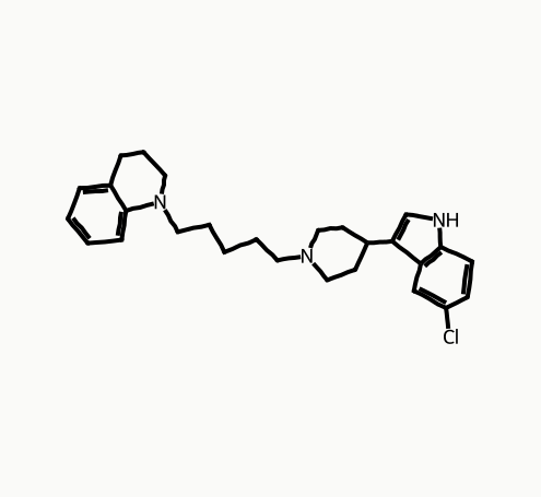 Clc1ccc2[nH]cc(C3CCN(CCCCCN4CCCc5ccccc54)CC3)c2c1